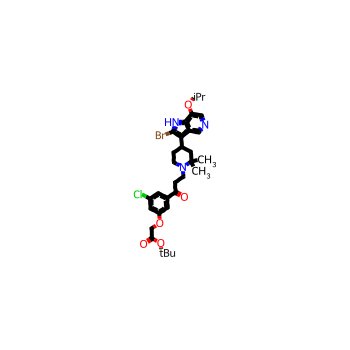 CC(C)Oc1cncc2c(C3CCN(CCC(=O)c4cc(Cl)cc(OCC(=O)OC(C)(C)C)c4)C(C)(C)C3)c(Br)[nH]c12